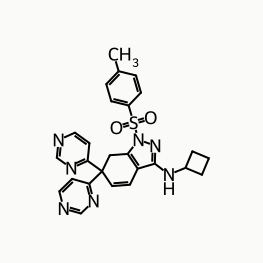 Cc1ccc(S(=O)(=O)n2nc(NC3CCC3)c3c2CC(c2ccncn2)(c2ccncn2)C=C3)cc1